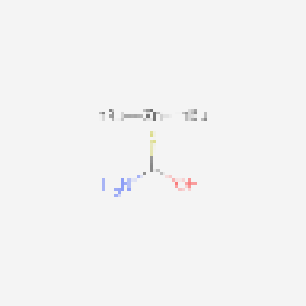 CCC[CH2][Zn][CH2]CCC.NC(O)=S